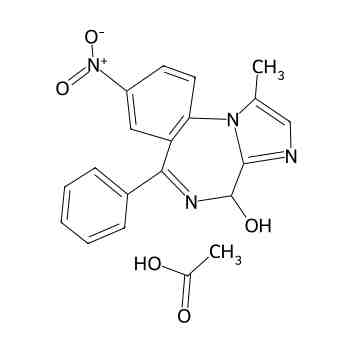 CC(=O)O.Cc1cnc2n1-c1ccc([N+](=O)[O-])cc1C(c1ccccc1)=NC2O